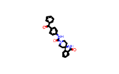 O=C(c1ccccc1)c1ccc(NC(=O)N2CCC3(CC2)NC(=O)c2ccccc23)cc1